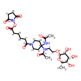 CC(=O)NC1(N(CCO[C@@H]2O[C@@H](C)[C@@H](O)[C@@H](O)[C@@H]2O)C(C)=O)CCN(C(=O)CCCCC(=O)ON2C(=O)CCC2=O)CC1